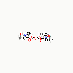 CC1(C)CC(C(=O)OCCOCCOC(=O)C2CC(C)(C)N(O)C(C)(C)C2)CC(C)(C)N1O